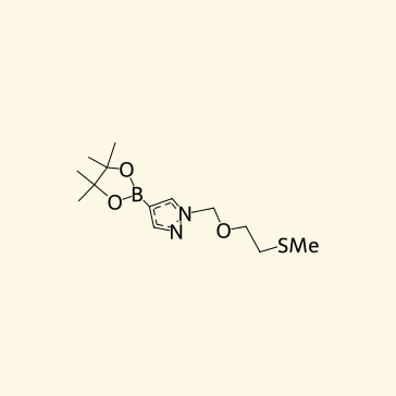 CSCCOCn1cc(B2OC(C)(C)C(C)(C)O2)cn1